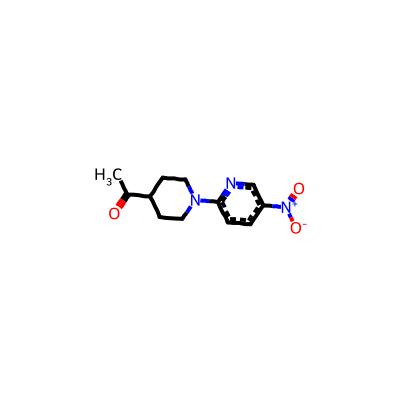 CC(=O)C1CCN(c2ccc([N+](=O)[O-])cn2)CC1